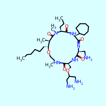 CCCCCC[C@H]1OC[C@@H](C)NC(=O)[C@H](COC(CN)CN)NC(=O)[C@H](CN)NC(=O)[C@H](C2CCCCCC2)NC(=O)[C@H](CCC)N(C)C(=O)[C@@H]1C